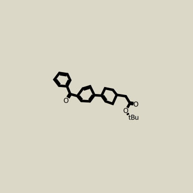 CC(C)(C)OC(=O)CC1CC=C(c2ccc(C(=O)c3ccccc3)cc2)CC1